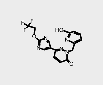 O=c1ccc(-c2cnc(OCC(F)(F)F)nc2)nn1Cc1cccc(O)n1